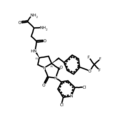 NC(=O)C(N)CC(=O)N[C@@H]1CN2C(=O)N(c3cc(Cl)nc(Cl)c3)C(=O)[C@@]2(Cc2ccc(OC(F)(F)F)cc2)C1